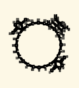 O=C([O-])C1(C(=O)[O-])CCOCCOCCOCCC(C(=O)[O-])(C(=O)[O-])CCOCCOCCOCC1.[NH2][Pt+2][NH2].[NH2][Pt+2][NH2]